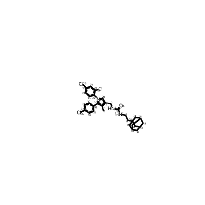 Cc1c(CNC(=O)NCCC23CC4CC(CC(C4)C2)C3)cn(-c2ccc(Cl)cc2Cl)c1-c1ccc(Cl)cc1